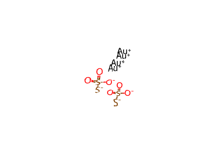 O=S(=O)([O-])[S-].O=S(=O)([O-])[S-].[Au+].[Au+].[Au+].[Au+]